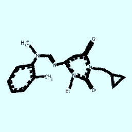 CCn1c(N=CN(C)c2ccccc2C)cc(=O)n(CC2CC2)c1=O